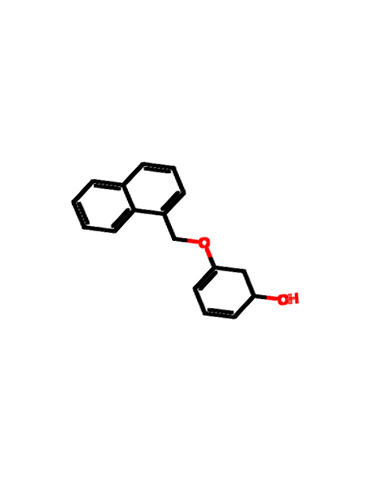 OC1C=CC=C(OCc2cccc3ccccc23)C1